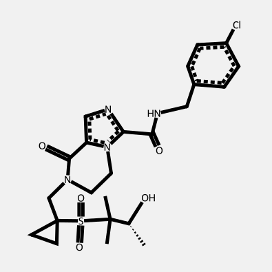 C[C@@H](O)C(C)(C)S(=O)(=O)C1(CN2CCn3c(cnc3C(=O)NCc3ccc(Cl)cc3)C2=O)CC1